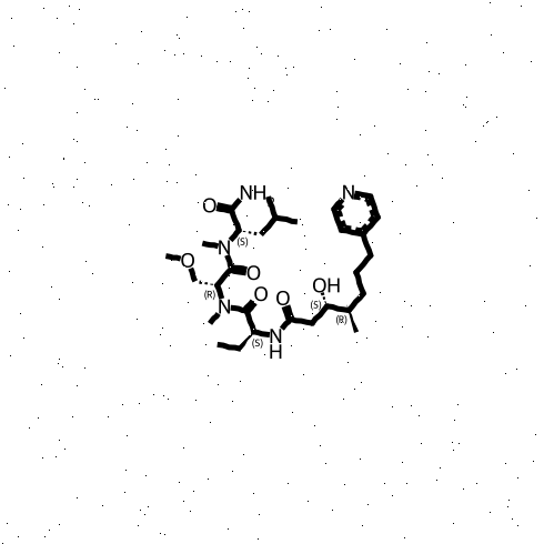 CC[C@H](NC(=O)C[C@H](O)[C@H](C)CCCc1ccncc1)C(=O)N(C)[C@H](COC)C(=O)N(C)[C@@H](CC(C)C)C(N)=O